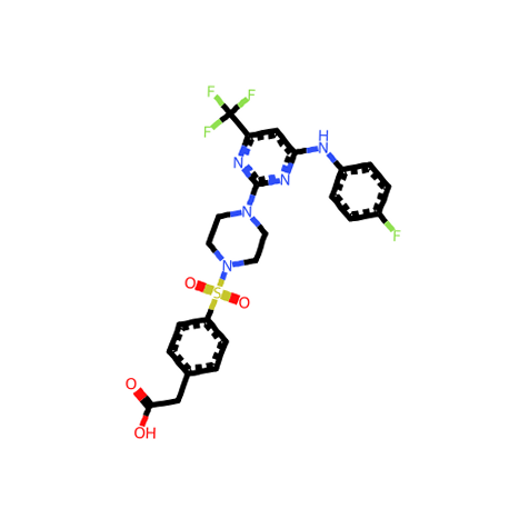 O=C(O)Cc1ccc(S(=O)(=O)N2CCN(c3nc(Nc4ccc(F)cc4)cc(C(F)(F)F)n3)CC2)cc1